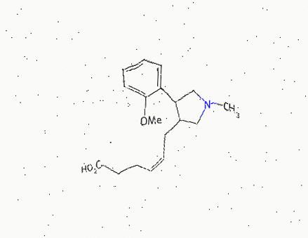 COc1ccccc1C1CN(C)CC1C/C=C\CCC(=O)O